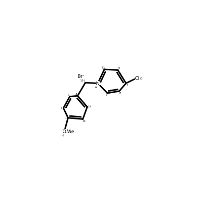 COc1ccc(C[n+]2ccc(Cl)cc2)cc1.[Br-]